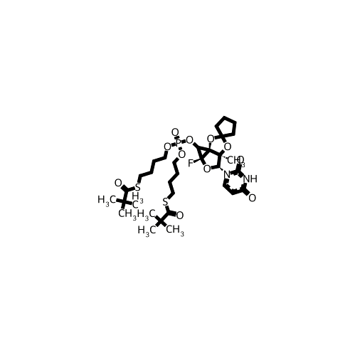 CC(C)(C)C(=O)SCCCCOP(=O)(OCCCCSC(=O)C(C)(C)C)OC1[C@]23OC4(CCCC4)O[C@@]2(C)[C@H](n2ccc(=O)[nH]c2=O)O[C@]13F